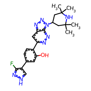 CC1(C)CC(n2nnc3cc(-c4ccc(-c5c[nH]nc5F)cc4O)nnc32)CC(C)(C)N1